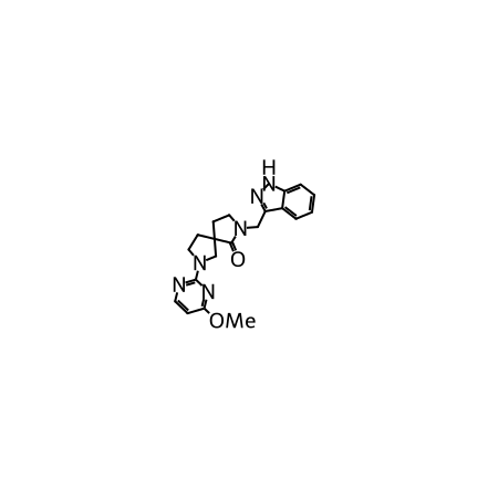 COc1ccnc(N2CCC3(CCN(Cc4n[nH]c5ccccc45)C3=O)C2)n1